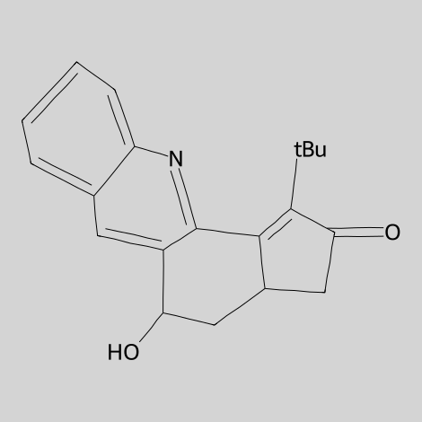 CC(C)(C)C1=C2c3nc4ccccc4cc3C(O)CC2CC1=O